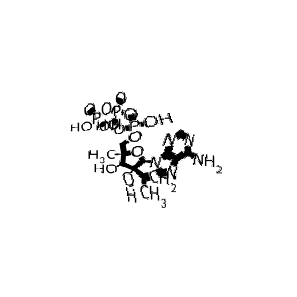 C=C(C)[C@]1(O)[C@H](n2cnc3c(N)ncnc32)O[C@](C)(COP(=O)(O)OP(=O)(O)OP(=O)(O)O)[C@H]1O